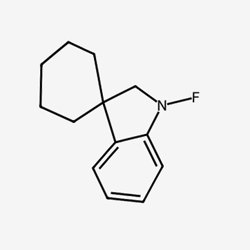 FN1CC2(CCCCC2)c2ccccc21